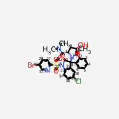 COc1ccccc1C1(N2C[C@H](O)C[C@H]2C(=O)N(C)C)C(=O)N(S(=O)(=O)c2ccc(Br)cn2)c2ccc(Cl)cc21